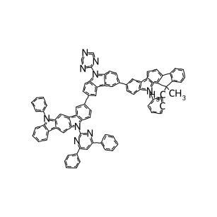 CC1(C)c2ccccc2-c2ccc3c4cc(-c5ccc6c(c5)c5cc(-c7ccc8c(c7)c7cc9c(cc7n8-c7nc(-c8ccccc8)cc(-c8ccccc8)n7)c7ccccc7n9-c7ccccc7)ccc5n6-c5ncncn5)ccc4n(-c4ccccc4)c3c21